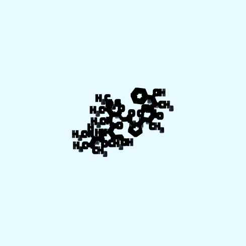 CC[C@H](C)[C@@H]([C@@H](CC(=O)N1CCC[C@H]1[C@H](OC)[C@@H](C)C(=O)N[C@H](C)[C@@H](O)c1ccccc1)OC)N(C)C(=O)[C@@H](NC(=O)[C@@H](NC)C(C)C)C(C)CO